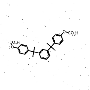 CC(C)(c1ccc(OC(=O)O)cc1)c1cccc(C(C)(C)c2ccc(OC(=O)O)cc2)c1